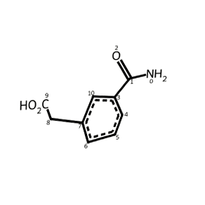 NC(=O)c1cccc(CC(=O)O)c1